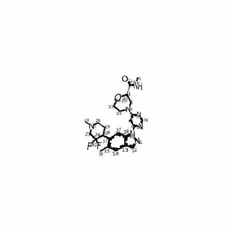 CNC(=O)[C@H]1CN(c2cc(-n3ncc4cc(C)c(C5CCN(C)CC5(F)F)cc43)ncn2)CCO1